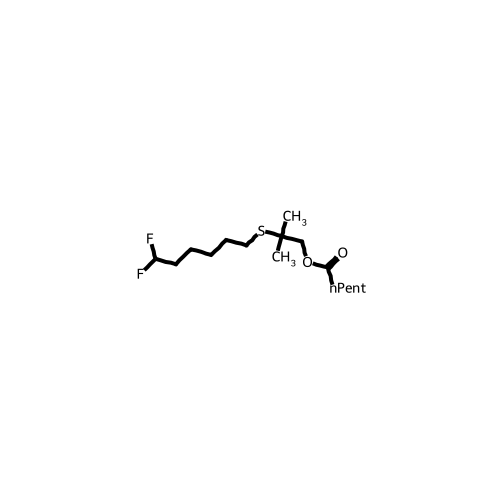 CCCCCC(=O)OCC(C)(C)SCCCCCC(F)F